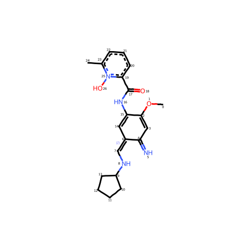 COC1=CC(=N)/C(=C\NC2CCCC2)C=C1NC(=O)c1cccc(C)[n+]1O